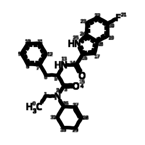 CCN(C(=O)C(Cc1ccccc1)NC(=O)c1cc2cc(F)ccc2[nH]1)C1C=CCCC1